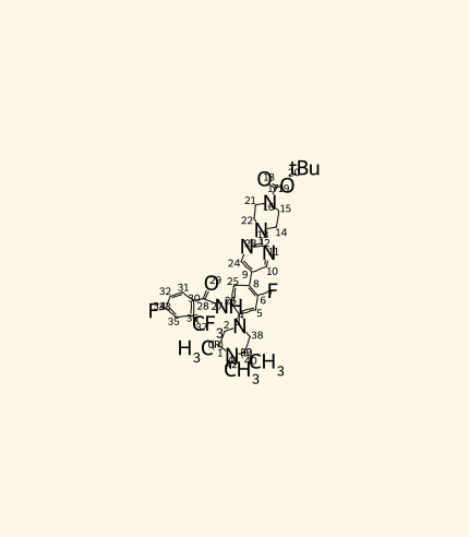 C[C@@H]1CN(c2cc(F)c(-c3cnc(N4CCN(C(=O)OC(C)(C)C)CC4)nc3)cc2NC(=O)c2ccc(F)cc2C(F)(F)F)C[C@H](C)N1C